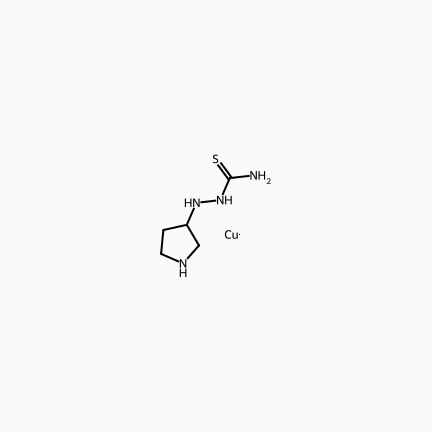 NC(=S)NNC1CCNC1.[Cu]